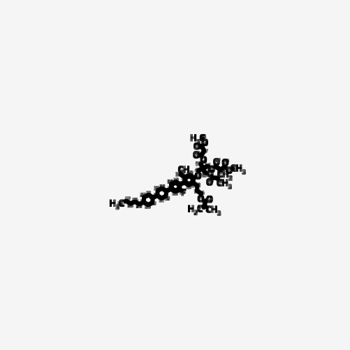 C=C(C)C(=O)OCCCc1cc(-c2ccc(C3CCC(C4CCC(CCCCC)CC4)CC3)cc2F)c(CC)cc1OCC(COC(=O)CC(=O)OC)(COC(=O)CC(=O)OC)COC(=O)C(=C)C